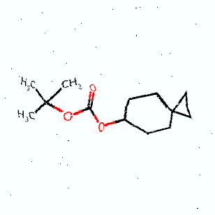 CC(C)(C)OC(=O)OC1CCC2(CC1)CC2